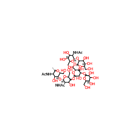 CC(=O)NC1C(O)[C@H](O)C(CO)O[C@H]1OC1C(O)[C@H](O)C(CO)O[C@@H]1OCC1O[C@@H](O[C@@H]2C(CO)O[C@@H](O[C@@H]3C(CO)O[C@@H](C)C(NC(C)=O)C3O)C(NC(C)=O)C2O)C(O)C(O[C@H]2OC(CO)[C@@H](O)C(O)C2O)[C@@H]1O